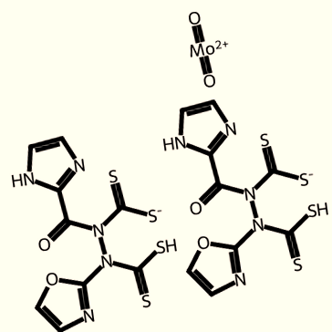 O=C(c1ncc[nH]1)N(C(=S)[S-])N(C(=S)S)c1ncco1.O=C(c1ncc[nH]1)N(C(=S)[S-])N(C(=S)S)c1ncco1.[O]=[Mo+2]=[O]